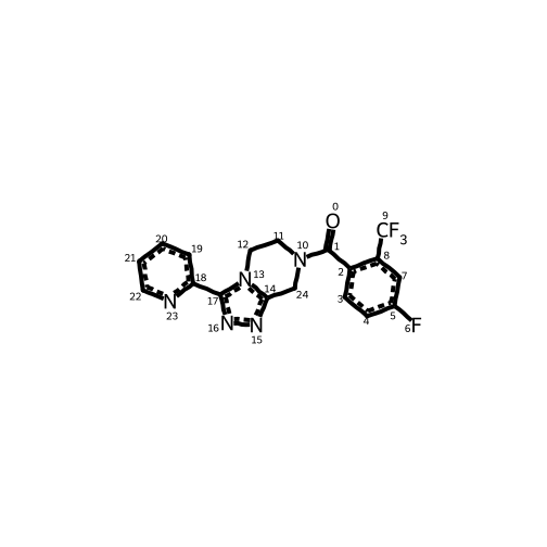 O=C(c1ccc(F)cc1C(F)(F)F)N1CCn2c(nnc2-c2ccccn2)C1